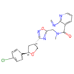 C=Nc1ncccc1C(=O)N(C)Cc1nc([C@@H]2CO[C@@H](c3ccc(Cl)cc3)C2)no1